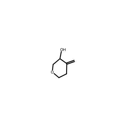 C=C1CCOCC1O